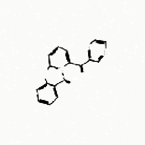 O=C(C1=CC=CC2Oc3ccccc3C(=O)N12)c1cnccn1